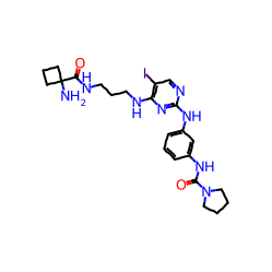 NC1(C(=O)NCCCNc2nc(Nc3cccc(NC(=O)N4CCCC4)c3)ncc2I)CCC1